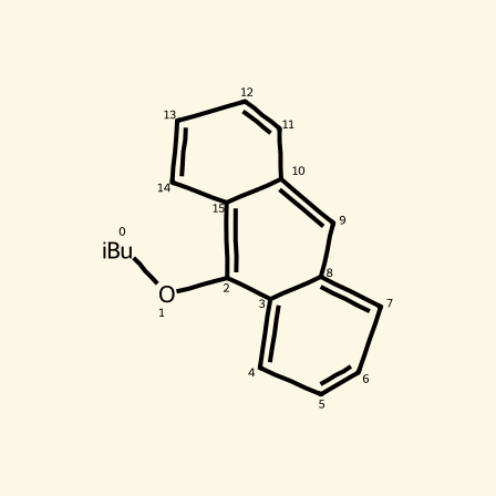 CCC(C)Oc1c2ccccc2cc2ccccc12